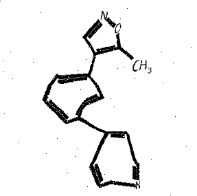 Cc1oncc1-c1cccc(-c2ccncc2)c1